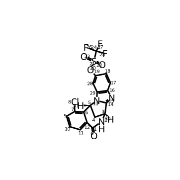 O=C1N[C@@H]2C[C@H](c3c(Cl)cccc31)n1c2nc2ccc(OS(=O)(=O)C(F)(F)F)cc21